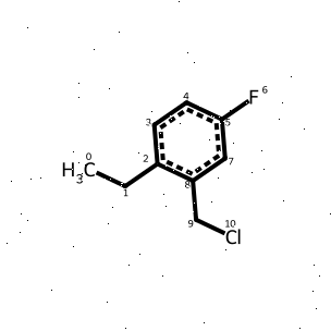 CCc1ccc(F)cc1CCl